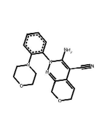 N#CC1=C(N)N(c2ccccc2N2CCOCC2)N=C2COCC=C21